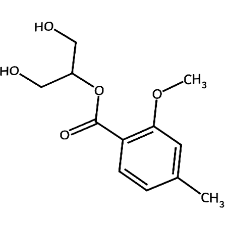 COc1cc(C)ccc1C(=O)OC(CO)CO